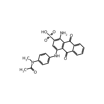 CC(=O)N(C)c1ccc(Nc2cc(S(=O)(=O)O)c(N)c3c2C(=O)c2ccccc2C3=O)cc1